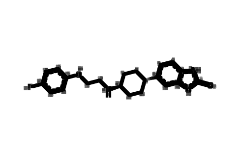 O=c1[nH]c2ccc([C@H]3CC[C@H](NCCOc4ccc(F)cc4)CC3)cc2o1